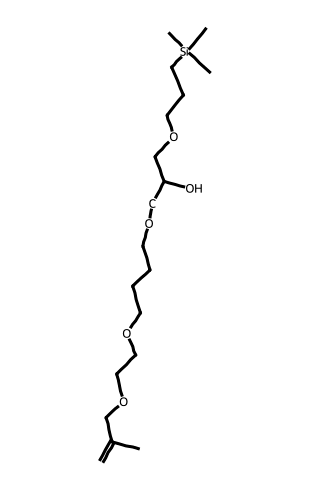 C=C(C)COCCOCCCCOCC(O)COCCC[Si](C)(C)C